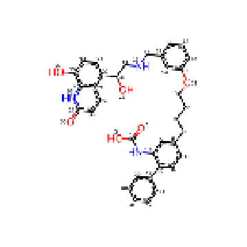 O=C(O)Nc1cc(CCCCOc2cccc(CNCC(O)c3ccc(O)c4[nH]c(=O)ccc34)c2)ccc1-c1ccccc1